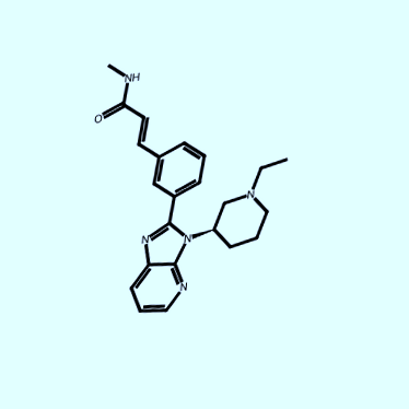 CCN1CCC[C@@H](n2c(-c3cccc(/C=C/C(=O)NC)c3)nc3cccnc32)C1